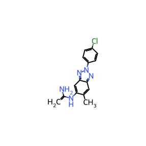 C=C(N)Nc1cc2nn(-c3ccc(Cl)cc3)nc2cc1C